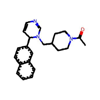 CC(=O)N1CCC(CN2C=NC=CC2c2ccc3ccccc3c2)CC1